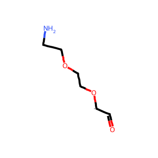 NCCOCCO[CH]C=O